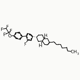 CCCCCCCC1CC[C@@H]2C[C@H](c3ccc(-c4ccc(OC(F)(F)C(F)F)cc4)c(F)c3)CC[C@@H]2C1